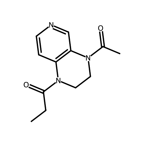 CCC(=O)N1CCN(C(C)=O)c2cnccc21